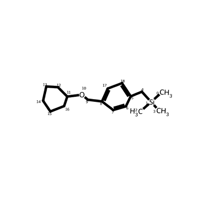 C[Si](C)(C)Cc1ccc(COC2CCCCC2)cc1